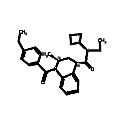 CCc1ccc(C(=O)N2c3ccccc3[C@H](C(=O)N(CC)C3CCC3)C[C@@H]2C)cc1